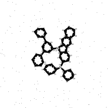 c1ccc(-c2cc(-c3ccccc3)cc(-n3c4cc(N(c5ccccc5)c5ccccc5)ccc4c4cc5ccccc5cc43)c2)cc1